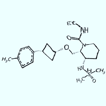 CCNC(=O)N1CCC[C@H](N[SH](C)(C)=O)[C@@H]1CO[C@H]1C[C@@H](c2ccc(C)cc2)C1